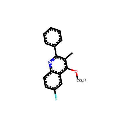 Cc1c(-c2ccccc2)nc2ccc(F)cc2c1OC(=O)O